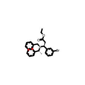 CCOC(=O)C[C@@H](c1cccc(Br)c1)N(Cc1ccccc1)[C@H](C)c1ccccc1